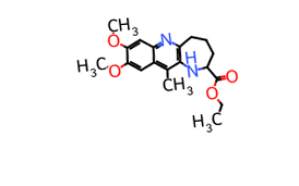 CCOC(=O)C1CCCc2nc3cc(OC)c(OC)cc3c(C)c2N1